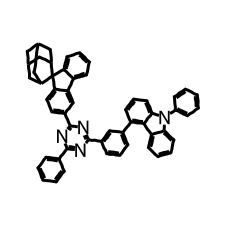 c1ccc(-c2nc(-c3cccc(-c4cccc5c4c4ccccc4n5-c4ccccc4)c3)nc(-c3ccc4c(c3)-c3ccccc3C43C4CC5CC(C4)CC3C5)n2)cc1